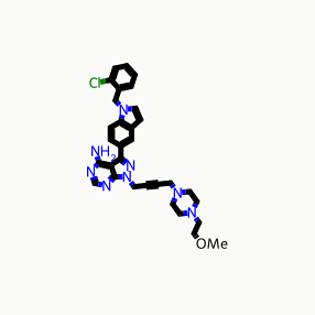 COCCN1CCN(CC#CCn2nc(-c3ccc4c(ccn4Cc4ccccc4Cl)c3)c3c(N)ncnc32)CC1